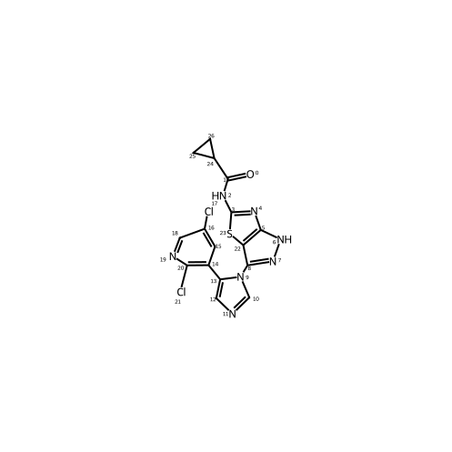 O=C(Nc1nc2[nH]nc(-n3cncc3-c3cc(Cl)cnc3Cl)c2s1)C1CC1